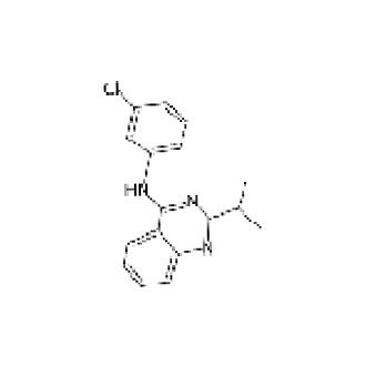 CC(C)c1nc(Nc2cccc(Cl)c2)c2ccccc2n1